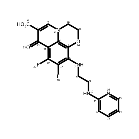 O=C(O)c1cn2c3c(c(NCCNc4ccccn4)c(F)c(F)c3c1=O)OCC2